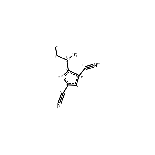 CC[S+]([O-])c1sc(C#N)cc1C#N